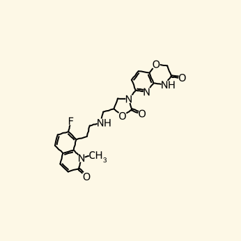 Cn1c(=O)ccc2ccc(F)c(CCNCC3CN(c4ccc5c(n4)NC(=O)CO5)C(=O)O3)c21